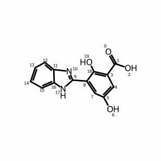 O=C(O)c1cc(O)cc(-c2nc3ccccc3[nH]2)c1O